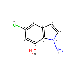 Nn1ccc2cc(Cl)ccc21.O